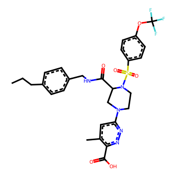 CCCc1ccc(CNC(=O)C2CN(c3cc(C)c(C(=O)O)nn3)CCN2S(=O)(=O)c2ccc(OC(F)(F)F)cc2)cc1